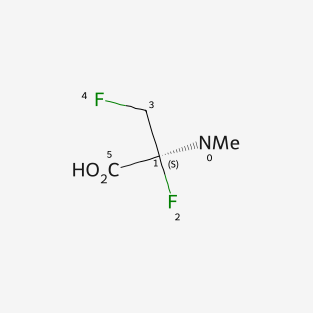 CN[C@@](F)(CF)C(=O)O